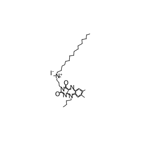 CCCCCCCCCCCCCCCC[N+](C)(C)CCCn1c(=O)nc2n(CCCC)c3cc(C)c(C)cc3nc-2c1=O.[I-]